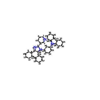 c1cncc(-c2nc3c4ccccc4c4ccccc4c3n2-c2cccc(-n3c4ccccc4c4ccccc43)c2)c1